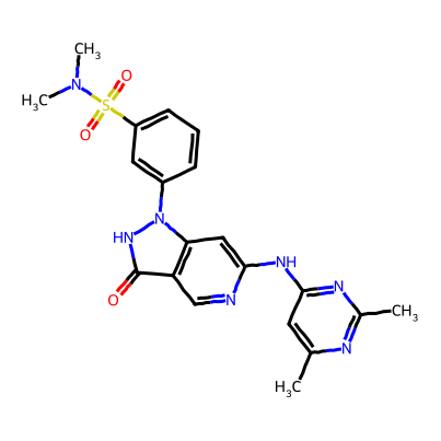 Cc1cc(Nc2cc3c(cn2)c(=O)[nH]n3-c2cccc(S(=O)(=O)N(C)C)c2)nc(C)n1